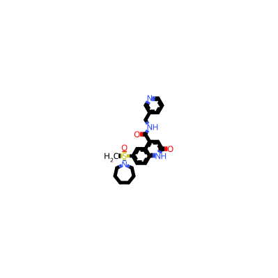 C=S(=O)(c1ccc2[nH]c(=O)cc(C(=O)NCc3cccnc3)c2c1)N1CCCCCC1